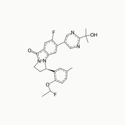 Cc1ccc(OC(C)F)c([C@H]2CCn3c(=O)c4cc(F)c(-c5cnc(C(C)(C)O)nc5)cc4n32)c1